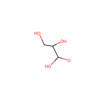 [O]C(O)C(O)CO